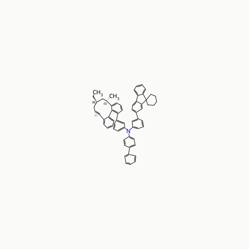 CC[C@@H]1C/C=C/c2ccccc2-c2c(-c3cccc(N(c4ccc(-c5ccccc5)cc4)c4cccc(-c5ccc6c(c5)C5(CCCCC5)c5ccccc5-6)c4)c3)cccc2[C@@H](C)C1